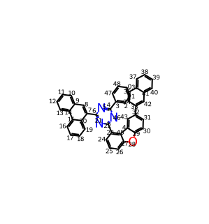 c1ccc(-c2nc(-c3cc4ccccc4c4ccccc34)nc(-c3cccc4oc5ccc(-c6ccc7ccccc7c6)cc5c34)n2)cc1